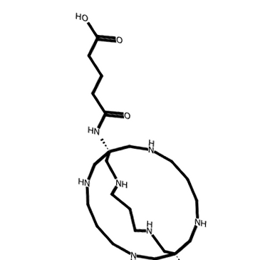 N[C@]12CNCCCNC[C@](NC(=O)CCCC(=O)O)(CNCCCNC1)CNCCCNC2